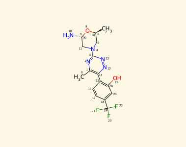 Cc1nc(N2C[C@H](C)O[C@@H](N)C2)nnc1-c1ccc(C(F)(F)F)cc1O